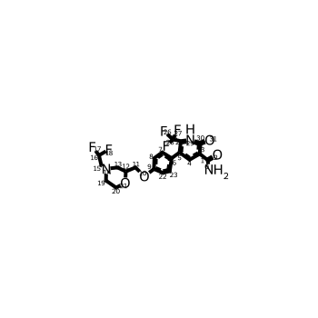 NC(=O)c1cc(-c2ccc(OCC3CN(CC(F)F)CCO3)cc2)c(C(F)(F)F)[nH]c1=O